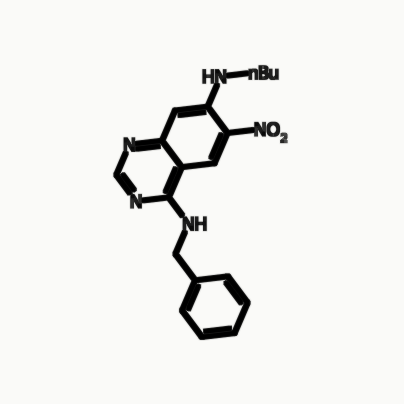 CCCCNc1cc2ncnc(NCc3ccccc3)c2cc1[N+](=O)[O-]